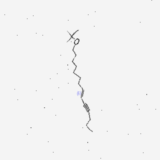 CCCC#C/C=C/CCCCCCCOC(C)(C)C